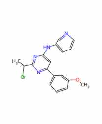 COc1cccc(-c2cc(Nc3cccnc3)nc(C(C)Br)n2)c1